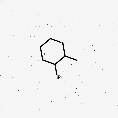 CC(C)C1[CH]CCCC1C